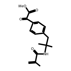 C=C(C)C(=O)NC(C)(C)Cc1ccc(C(=O)C(=O)OC)cc1